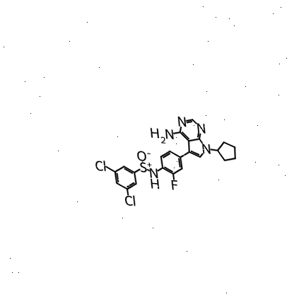 Nc1ncnc2c1c(-c1ccc(N[S+]([O-])c3cc(Cl)cc(Cl)c3)c(F)c1)cn2C1CCCC1